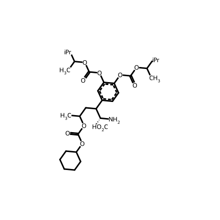 CC(CC(c1ccc(OC(=O)OC(C)C(C)C)c(OC(=O)OC(C)C(C)C)c1)[C@H](N)C(=O)O)OC(=O)OC1CCCCC1